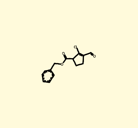 O=CC1=C(Cl)C(C(=O)OCc2ccccc2)CC1